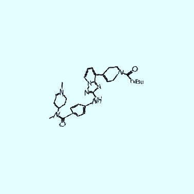 CCCCC(=O)N1CC=C(c2cccn3nc(Nc4ccc(C(=O)N(C)C5CCN(C)CC5)cc4)nc23)CC1